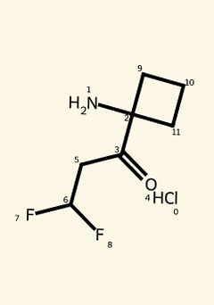 Cl.NC1(C(=O)CC(F)F)CCC1